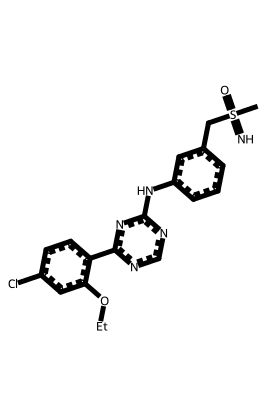 CCOc1cc(Cl)ccc1-c1ncnc(Nc2cccc(CS(C)(=N)=O)c2)n1